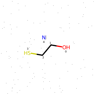 OCCS.[N]